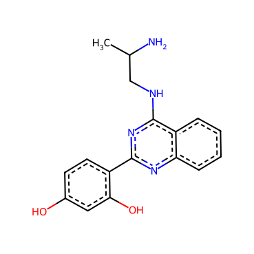 CC(N)CNc1nc(-c2ccc(O)cc2O)nc2ccccc12